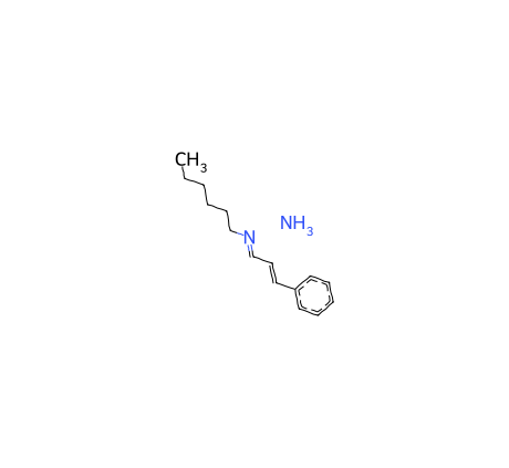 CCCCCCN=CC=Cc1ccccc1.N